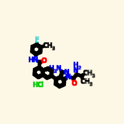 Cc1cc(NC(=O)c2cccc3cc(-c4cccc5c4c(N)nn5C(=O)[C@@H](N)C(C)C)ccc23)ccc1F.Cl